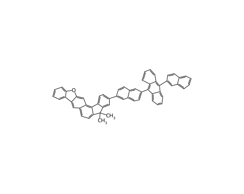 CC1(C)c2cc(-c3ccc4cc(-c5c6ccccc6c(-c6ccc7ccccc7c6)c6ccccc56)ccc4c3)ccc2-c2c1ccc1cc3c(cc21)oc1ccccc13